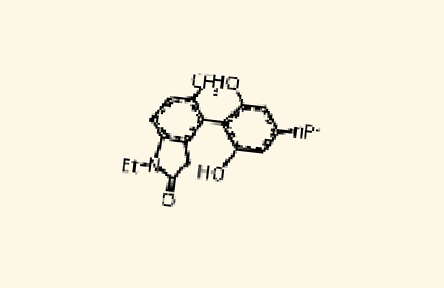 CCCc1cc(O)c(-c2c(C(F)(F)F)ccc3c2CC(=O)N3CC)c(O)c1